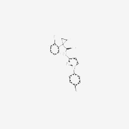 O=C(Nc1ccn(-c2ccc(F)cc2)n1)C1(c2ccccc2F)CC1